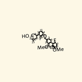 COc1ccc(F)c(-c2ccc(COc3cccc(C(CC(=O)O)CC4CC4)c3F)cc2[C@H](OC)C(C)(C)C)c1